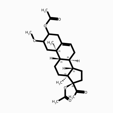 COC1C[C@@]2(C)C(=CC[C@@H]3[C@@H]2CC[C@@]2(C)[C@H]3CC[C@]2(OC(C)=O)C(C)=O)CC1OC(C)=O